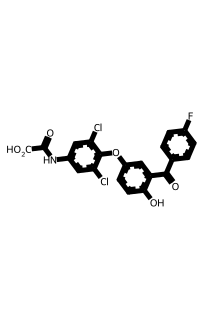 O=C(O)C(=O)Nc1cc(Cl)c(Oc2ccc(O)c(C(=O)c3ccc(F)cc3)c2)c(Cl)c1